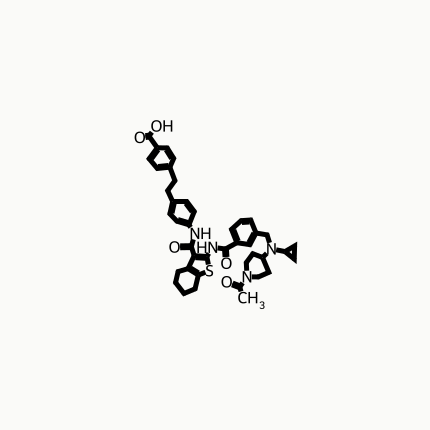 CC(=O)N1CCC(N(Cc2cccc(C(=O)Nc3sc4c(c3C(=O)Nc3ccc(CCc5ccc(C(=O)O)cc5)cc3)CCCC4)c2)C2CC2)CC1